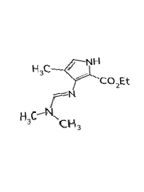 CCOC(=O)c1[nH]cc(C)c1N=CN(C)C